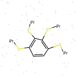 CC(C)Sc1ccc(SC(C)C)c(SC(C)C)c1SC(C)C